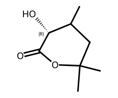 CC1CC(C)(C)OC(=O)[C@@H]1O